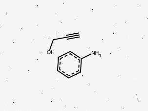 C#CCO.Nc1ccccc1